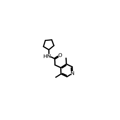 Cc1cncc(C)c1CC(=O)NC1CCCC1